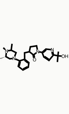 CC1CN(c2ccccc2CC2CCN(c3ccc(C(C)(C)O)nc3)C2=O)C[C@H](C)N1C